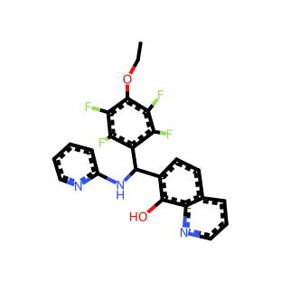 CCOc1c(F)c(F)c(C(Nc2ccccn2)c2ccc3cccnc3c2O)c(F)c1F